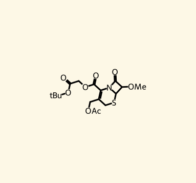 COC1C(=O)N2C(C(=O)OCC(=O)OC(C)(C)C)=C(COC(C)=O)CSC12